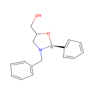 OCC1CN(Cc2ccccc2)[C@H](c2ccccc2)O1